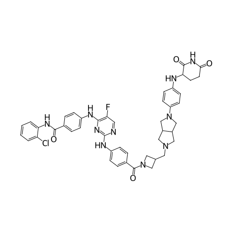 O=C1CCC(Nc2ccc(N3CC4CN(CC5CN(C(=O)c6ccc(Nc7ncc(F)c(Nc8ccc(C(=O)Nc9ccccc9Cl)cc8)n7)cc6)C5)CC4C3)cc2)C(=O)N1